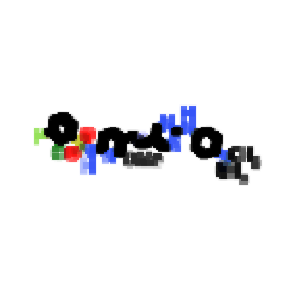 COc1nc(NS(=O)(=O)c2cccc(F)c2Cl)ccc1/C=C/c1cnc(NC2CCC(N(C)C)CC2)nc1